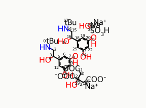 CC(C)(C)NCC(O)c1cc(O)cc(O)c1.CC(C)(C)NCC(O)c1cc(O)cc(O)c1.O=C([O-])CC(O)(CC(=O)[O-])C(=O)[O-].O=S(=O)(O)O.[Na+].[Na+].[Na+]